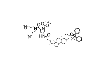 C[C@H](CCC(=O)NC1C[C@@H](C(=O)N(CCCN(C)C)CCCN(C)C)N(C(=O)OC(C)(C)C)C1)[C@H]1CCC2C3CCC4C[C@H](O[Si](c5ccccc5)(c5ccccc5)C(C)(C)C)CC[C@]4(C)C3CC[C@@]21C